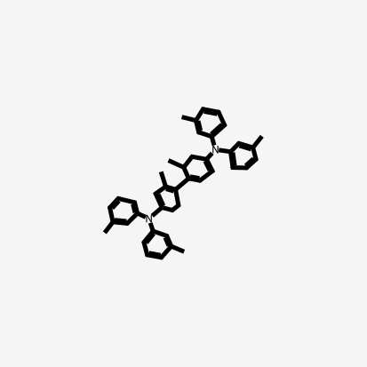 CC1=C(C2=CC=C(N(c3cccc(C)c3)c3cccc(C)c3)CC2C)CCC(N(c2cccc(C)c2)c2cccc(C)c2)=C1